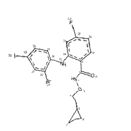 O=C(NOCC1CC1)c1ccc(F)cc1Nc1ccc(I)cc1Br